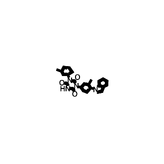 Cc1cccc(-n2c(=O)[nH]c(=O)n(-c3ccc(-n4ccc5ccccc54)c(C)c3)c2=O)c1